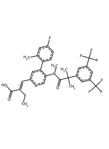 CC/C(=C\c1cc(-c2ccc(F)cc2C)c(N(C)C(=O)C(C)(C)c2cc(C(F)(F)F)cc(C(F)(F)F)c2)cn1)C(=O)O